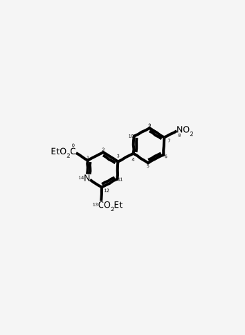 CCOC(=O)c1cc(-c2ccc([N+](=O)[O-])cc2)cc(C(=O)OCC)n1